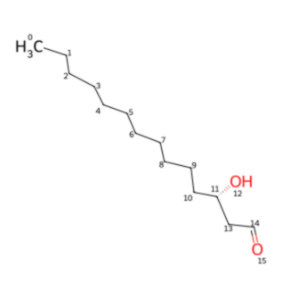 CCCCCCCCCCC[C@H](O)CC=O